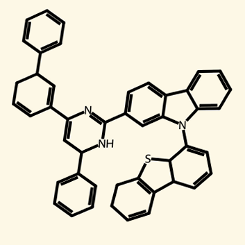 C1=CC2C3=C(CCC=C3)SC2C(n2c3ccccc3c3ccc(C4=NC(C5=CC(c6ccccc6)CC=C5)=CC(c5ccccc5)N4)cc32)=C1